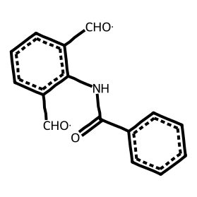 O=[C]c1cccc([C]=O)c1NC(=O)c1ccccc1